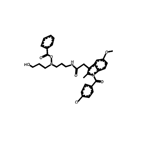 COc1ccc2c(c1)c(CC(=O)NCCCN(CCCO)OC(=O)c1ccccc1)c(C)n2C(=O)c1ccc(Cl)cc1